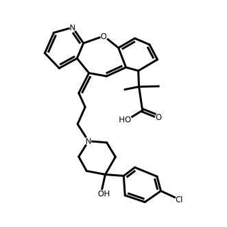 CC(C)(C(=O)O)C1C=CC=C2Oc3ncccc3C(=CCCN3CCC(O)(c4ccc(Cl)cc4)CC3)C=C21